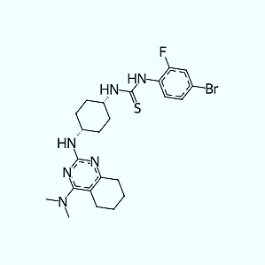 CN(C)c1nc(N[C@H]2CC[C@@H](NC(=S)Nc3ccc(Br)cc3F)CC2)nc2c1CCCC2